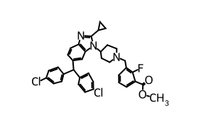 COC(=O)c1cccc(CN2CCC(n3c(C4CC4)nc4ccc(C(c5ccc(Cl)cc5)c5ccc(Cl)cc5)cc43)CC2)c1F